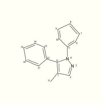 Cc1cnn(-c2ccccc2)c1-c1ccccc1